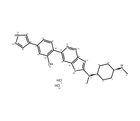 CN[C@H]1CC[C@@H](N(C)c2nc3nnc(-c4ccc(-c5cn[nH]c5)cc4O)cc3s2)CC1.Cl.Cl